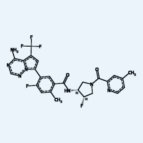 Cc1ccnc(C(=O)N2C[C@H](F)[C@H](NC(=O)c3cc(-c4cc(C(F)(F)F)c5c(N)ncnn45)c(F)cc3C)C2)c1